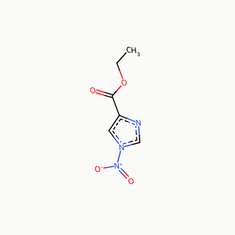 CCOC(=O)c1cn([N+](=O)[O-])cn1